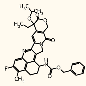 CCC1(OC(C)C)C(=O)OCc2c1cc1n(c2=O)Cc2c-1nc1cc(F)c(C)c3c1c2C(NC(=O)OCc1ccccc1)CC3